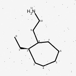 CC[C@@H]1CCCCCC1CCN